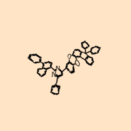 c1ccc(-c2cc(-c3ccc4c(c3)Oc3ccc5c(c3O4)-c3ccccc3C5(c3ccccc3)c3ccccc3)nc(-c3ccc(-c4ccccc4)c4ccccc34)n2)cc1